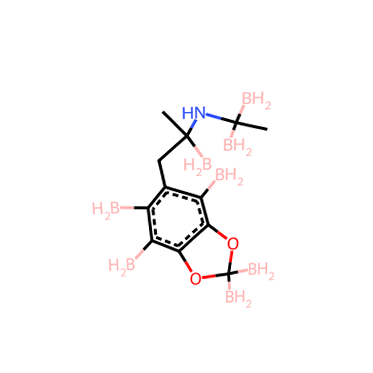 Bc1c(B)c2c(c(B)c1CC(B)(C)NC(B)(B)C)OC(B)(B)O2